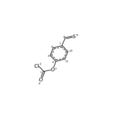 O=C(Cl)Oc1ccc(C=S)cc1